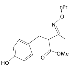 CCCON=C(C)C(Cc1ccc(O)cc1)C(=O)OC